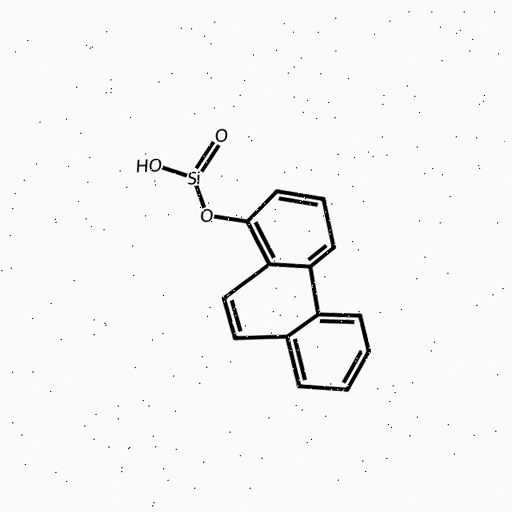 O=[Si](O)Oc1cccc2c1ccc1ccccc12